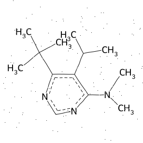 CC(C)c1c(N(C)C)ncnc1C(C)(C)C